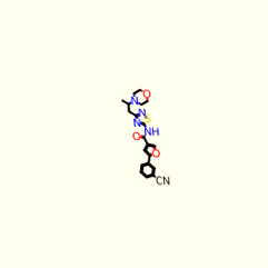 CC(Cc1nsc(NC(=O)c2coc(-c3cccc(C#N)c3)c2)n1)N1CCOCC1